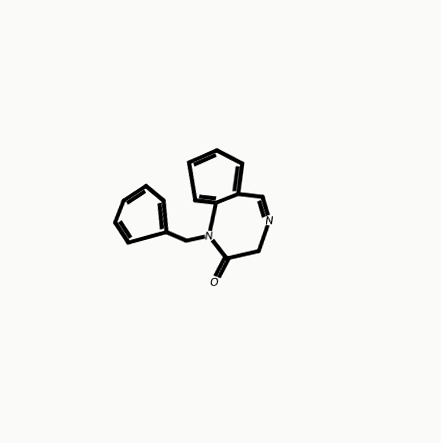 O=C1CN=Cc2ccccc2N1Cc1ccccc1